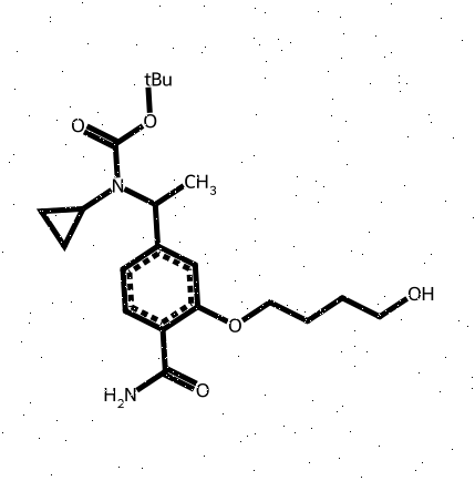 CC(c1ccc(C(N)=O)c(OCCCCO)c1)N(C(=O)OC(C)(C)C)C1CC1